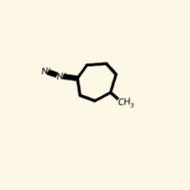 CC1CCCC(=[N+]=[N-])CC1